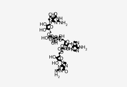 C[n+]1cn([C@@H]2O[C@H](COP(=O)(O)OP(=O)(O)OP(=O)(S)OC[C@H]3O[C@@H](n4cnc5c(N)ncnc54)[C@@H](O)C3OP(=O)(O)OC[C@H]3O[C@@H](n4cnc5c(=O)[nH]c(N)nc54)[C@@H](O)C3O)C(O)[C@@H]2O)c2nc(N)[nH]c(=O)c21